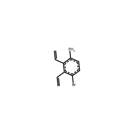 C=Cc1c(P)ccc(Br)c1C=C